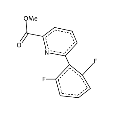 COC(=O)c1cccc(-c2c(F)cccc2F)n1